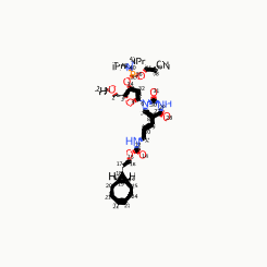 [2H]OC[C@H]1O[C@@H](n2cc(/C=C/CNC(=O)OCC[C@H]3[C@@H]4CCC#CCC[C@@H]43)c(=O)[nH]c2=O)CC1OP(OCCC#N)N(C(C)C)C(C)C